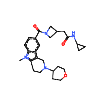 Cn1c2c(c3cc(C(=O)N4CC(CC(=O)NC5CC5)C4)ccc31)CN(C1CCOCC1)CC2